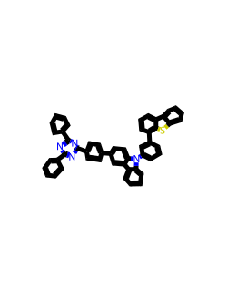 c1ccc(-c2nc(-c3ccccc3)nc(-c3ccc(-c4ccc5c(c4)c4ccccc4n5-c4cccc(-c5cccc6c5sc5ccccc56)c4)cc3)n2)cc1